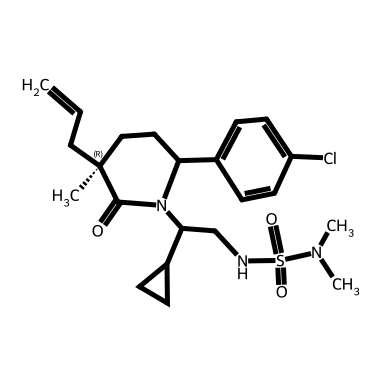 C=CC[C@@]1(C)CCC(c2ccc(Cl)cc2)N(C(CNS(=O)(=O)N(C)C)C2CC2)C1=O